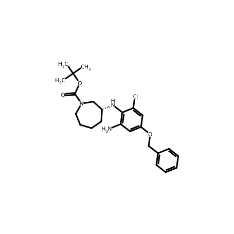 CC(C)(C)OC(=O)N1CCCC[C@@H](Nc2c(N)cc(OCc3ccccc3)cc2Cl)C1